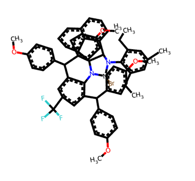 CCc1cc(C)cc(CC)c1[N]1C2c3cccc4cccc(c34)C2[N](c2c(C(c3ccc(OC)cc3)c3ccc(OC)cc3)cc(C(F)(F)F)cc2C(c2ccc(OC)cc2)c2ccc(OC)cc2)[Ni]1[Br]